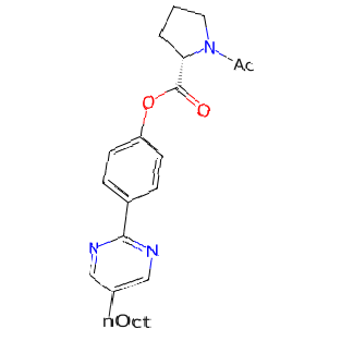 CCCCCCCCc1cnc(-c2ccc(OC(=O)[C@@H]3CCCN3C(C)=O)cc2)nc1